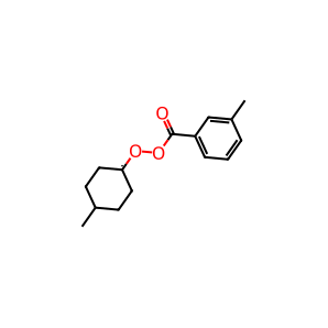 Cc1cccc(C(=O)OO[C]2CCC(C)CC2)c1